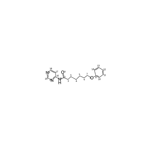 O=C(CCCCCCOc1ccccc1)Nc1ccncn1